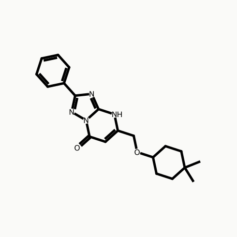 CC1(C)CCC(OCc2cc(=O)n3nc(-c4ccccc4)nc3[nH]2)CC1